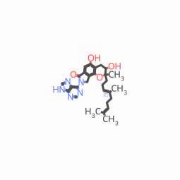 CC(C)=CCC/C(C)=C/CCC1(C)Oc2c(c(O)cc3c2CN(c2ncnc4[nH]cnc24)C3=O)CC1O